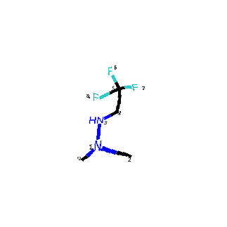 CN(C)NCC(F)(F)F